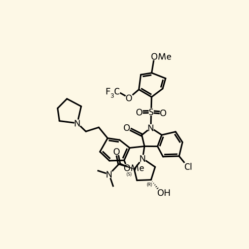 COc1ccc(S(=O)(=O)N2C(=O)C(c3cc(CCN4CCCC4)ccc3OC)(N3C[C@H](O)C[C@H]3C(=O)N(C)C)c3cc(Cl)ccc32)c(OC(F)(F)F)c1